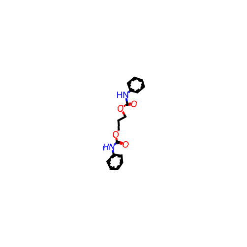 O=C(Nc1ccccc1)OCCCOC(=O)Nc1ccccc1